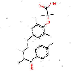 Cc1ccc(C(=O)[C@@H](C)[C@H](C)CCc2cc(C)c(OC(C)(C)C(=O)O)c(C)c2)cc1